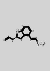 C=CC[C@@H]1Cc2c(C=CC(=O)O)cccc2O1